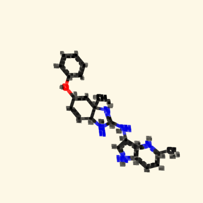 CC12C=C(Oc3ccccc3)C=CC1NC(Nc1c[nH]c3ccc(C(F)(F)F)nc13)=N2